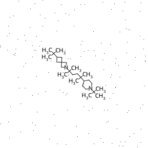 CC(C)(C)C1CC2(C1)CN(C(C)(C)CCC(C)(C)C1CCN(C(C)(C)C)CC1)C2